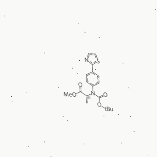 COC(=O)[C@H](C)N(C(=O)OC(C)(C)C)c1ccc(-c2nccs2)cc1